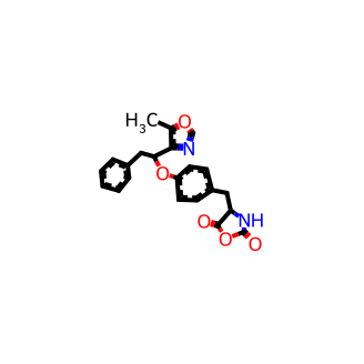 Cc1ocnc1C(Cc1ccccc1)Oc1ccc(CC2NC(=O)OC2=O)cc1